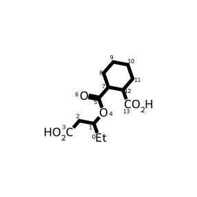 CCC(CC(=O)O)OC(=O)C1CCCCC1C(=O)O